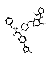 Cn1cc(-c2ccc(N(C(=O)NCc3ccccc3)[C@H]3CC[C@H](Nc4ncc(C#N)c(NC5(CO)CCCC5)n4)CC3)nc2)cn1